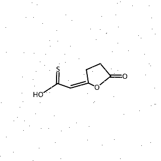 O=C1CCC(=CC(O)=S)O1